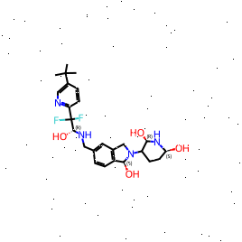 CC(C)(C)c1ccc(C(F)(F)[C@@H](O)NCc2ccc3c(c2)CN(C2CC[C@H](O)N[C@@H]2O)[C@H]3O)nc1